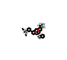 CCOP(=O)(OCC)c1cccc(-c2ccc(CC(Cc3ccc(C(F)(F)P(=O)(O)O)cc3)(c3ccccc3)n3nnc4ccccc43)cc2)c1